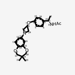 CC(=O)N[C@@H](C)c1ccc(OC2CN(c3ccc4c(c3)OCC(C)(C)CO4)C2)cc1